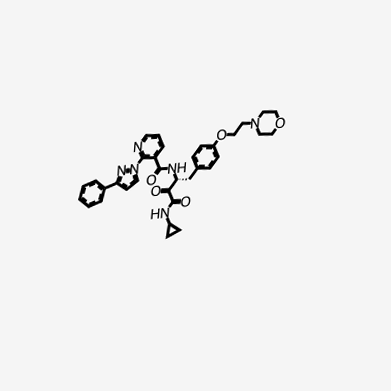 O=C(NC1CC1)C(=O)[C@@H](Cc1ccc(OCCN2CCOCC2)cc1)NC(=O)c1cccnc1-n1ccc(-c2ccccc2)n1